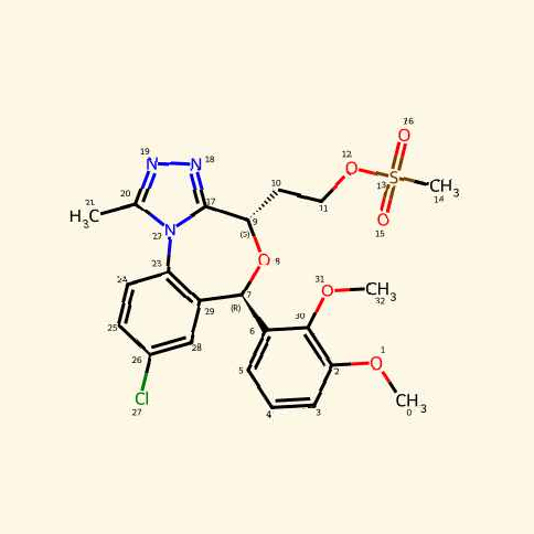 COc1cccc([C@@H]2O[C@@H](CCOS(C)(=O)=O)c3nnc(C)n3-c3ccc(Cl)cc32)c1OC